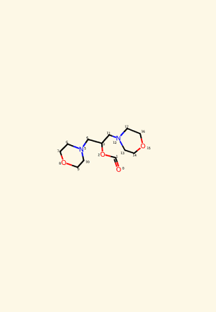 O=[C]OC(CN1CCOCC1)CN1CCOCC1